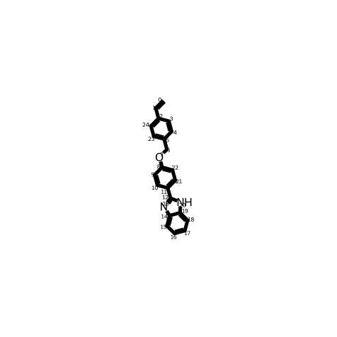 C=Cc1ccc(COc2ccc(-c3nc4ccccc4[nH]3)cc2)cc1